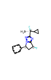 B[C@@](F)(c1nc2n(n1)[C@H](c1ccccc1)C[C@@H]2F)C1CC1